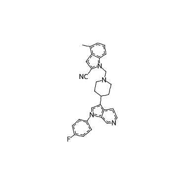 Cc1cccc2c1cc(C#N)n2CN1CCC(c2cn(-c3ccc(F)cc3)c3cnccc23)CC1